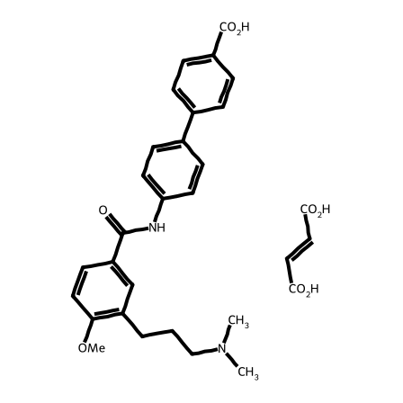 COc1ccc(C(=O)Nc2ccc(-c3ccc(C(=O)O)cc3)cc2)cc1CCCN(C)C.O=C(O)C=CC(=O)O